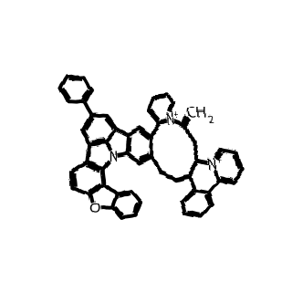 C=C1CC2C(CCc3cc4c(cc3-c3cccc[n+]31)c1cc(-c3ccccc3)cc3c5ccc6oc7ccccc7c6c5n4c13)c1ccccc1-c1cccc[n+]12